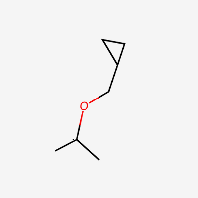 C[C](C)OCC1CC1